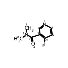 CN(C)C(=O)c1cnccc1I